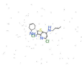 C/C=C/CNc1cc(Cl)nc2c(Cl)c([C@H]3CC=CC[C@@H]3N)sc12